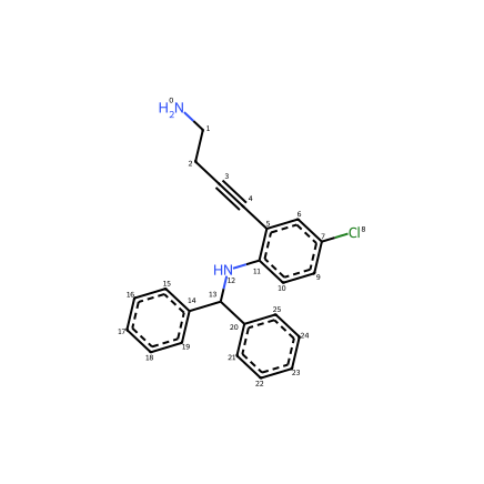 NCCC#Cc1cc(Cl)ccc1NC(c1ccccc1)c1ccccc1